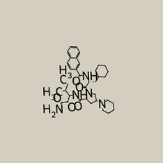 CCC(C)C(NC(=O)[C@@H]1C[C@@H](N2CCCCC2)CN1C(=O)[C@@H](CC1CCCCC1)NC(=O)c1ccc2ccccc2c1)C(=O)C(N)=O